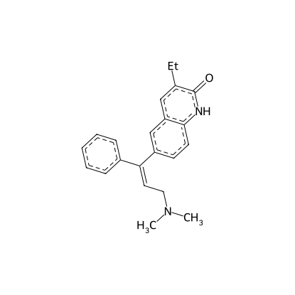 CCc1cc2cc(/C(=C\CN(C)C)c3ccccc3)ccc2[nH]c1=O